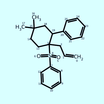 C=CCC1(S(=O)(=O)c2ccccc2)CCC(C)(C)CC1c1ccccc1